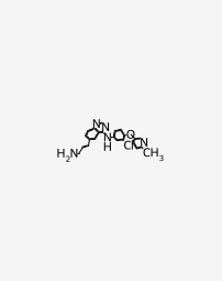 Cc1ccc(Oc2ccc(Nc3ncnc4ccc(/C=C/CN)cc34)cc2Cl)cn1